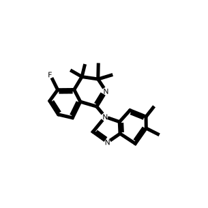 Cc1cc2ncn(C3=NC(C)(C)C(C)(C)c4c(F)cccc43)c2cc1C